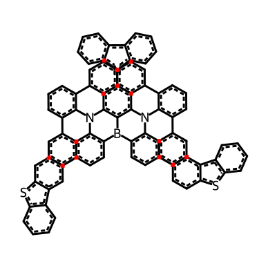 c1ccc(-c2cccc(-c3ccccc3)c2N2c3cc(-c4ccc5sc6ccccc6c5c4)ccc3B3c4ccc(-c5ccc6sc7ccccc7c6c5)cc4N(c4c(-c5ccccc5)cccc4-c4ccccc4)c4cc(-n5c6ccccc6c6ccccc65)cc2c43)cc1